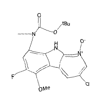 COc1c(F)cc(N(C)C(=O)OC(C)(C)C)c2[nH]c3c(cc(Cl)c[n+]3[O-])c12